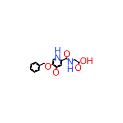 O=C(O)CNC(=O)c1cc(=O)c(OCc2ccccc2)c[nH]1